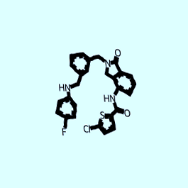 O=C(Nc1cccc2c1CN(Cc1cccc(CNc3ccc(F)cc3)c1)C2=O)c1ccc(Cl)s1